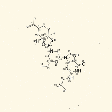 C=C(C)[C@H]1CC[C@@]2(C)S[P@](N3C[C@@H](CC)O[C@@H](n4cnc5c(=O)[nH]c(NCC(C)C)nc54)C3)O[C@@H]2C1